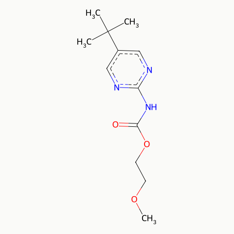 COCCOC(=O)Nc1ncc(C(C)(C)C)cn1